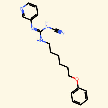 N#CN/C(=N\c1cccnc1)NCCCCCCOc1ccccc1